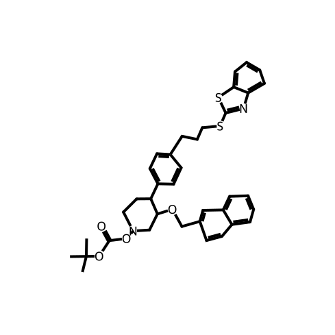 CC(C)(C)OC(=O)ON1CCC(c2ccc(CCCSc3nc4ccccc4s3)cc2)C(OCc2ccc3ccccc3c2)C1